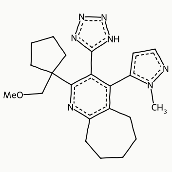 COCC1(c2nc3c(c(-c4ccnn4C)c2-c2nnn[nH]2)CCCCC3)CCCC1